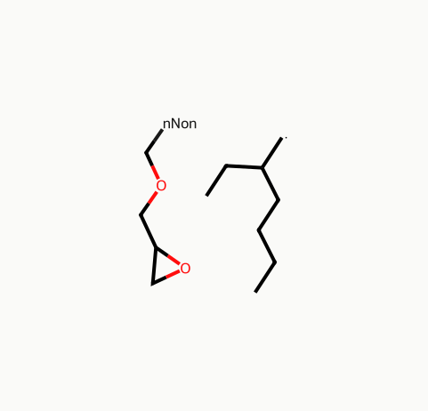 CCCCCCCCCCOCC1CO1.[CH2]C(CC)CCCC